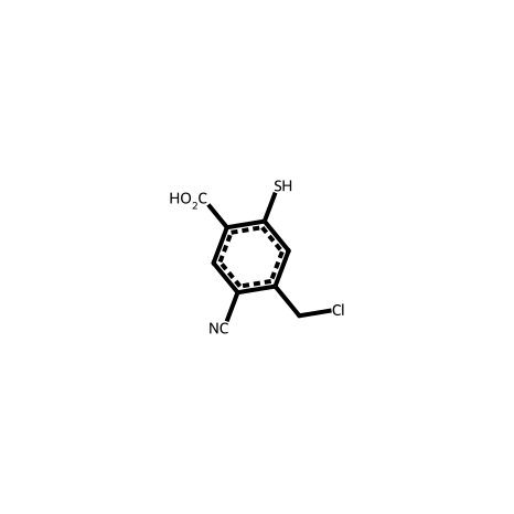 N#Cc1cc(C(=O)O)c(S)cc1CCl